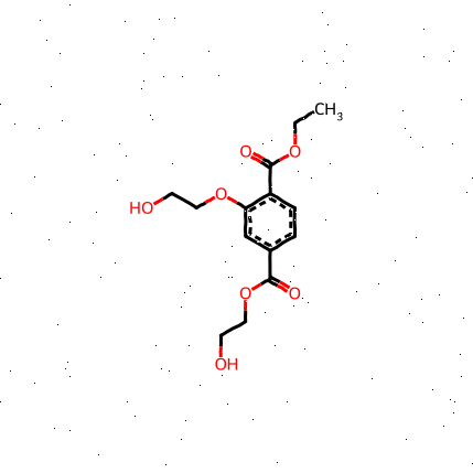 CCOC(=O)c1ccc(C(=O)OCCO)cc1OCCO